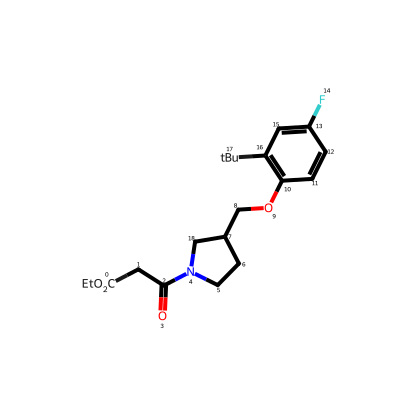 CCOC(=O)CC(=O)N1CCC(COc2ccc(F)cc2C(C)(C)C)C1